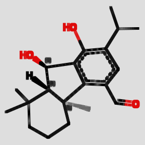 CC(C)c1cc(C=O)c2c(c1O)[C@H](O)[C@H]1C(C)(C)CCC[C@]21C